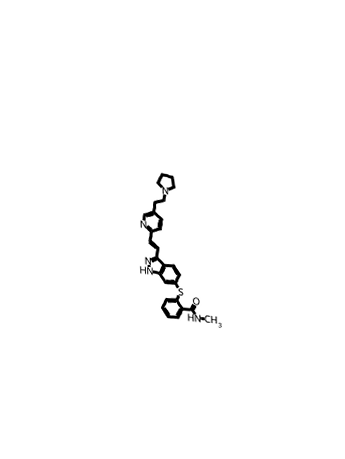 CNC(=O)c1ccccc1Sc1ccc2c(/C=C/c3ccc(CCN4CCCC4)cn3)n[nH]c2c1